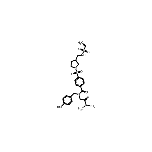 C=CS(=O)(=O)NCC1CCN(S(=O)(=O)c2ccc(C(=O)N(CC(=O)N(C)C)Cc3ccc(C(C)(C)C)cc3)cc2)C1